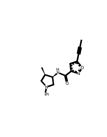 CC#Cc1cc(C(=O)N[C@H]2CN(C(C)C)C[C@H]2C)no1